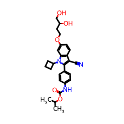 CC(C)OC(=O)Nc1ccc(-c2c(C#N)c3ccc(OCC[C@H](O)CO)cc3n2C2CCC2)cc1